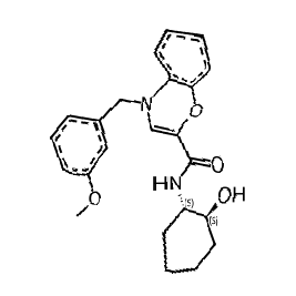 COc1cccc(CN2C=C(C(=O)N[C@H]3CCCC[C@@H]3O)Oc3ccccc32)c1